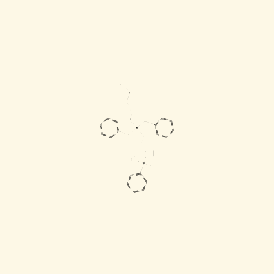 CCCOCC(CO[SiH2]C(C)(C)c1ccccc1)(Cc1ccccc1)Cc1ccccc1